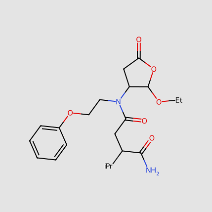 CCOC1OC(=O)CC1N(CCOc1ccccc1)C(=O)CC(C(N)=O)C(C)C